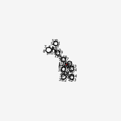 c1ccc(N(c2ccccc2)c2ccc(-c3ccc(C4Nc5c(ccc6c5C(c5ccccc5)(c5ccccc5)c5ccccc5-6)O4)cc3)cc2)cc1